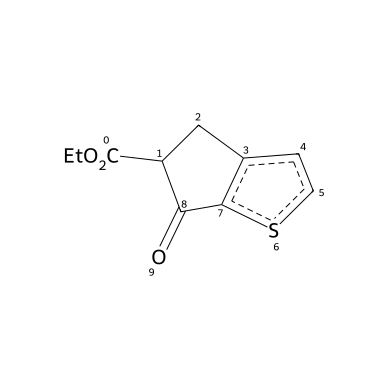 CCOC(=O)C1Cc2ccsc2C1=O